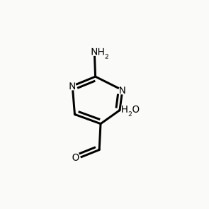 Nc1ncc(C=O)cn1.O